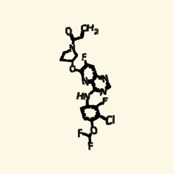 C=CC(=O)N1CC[C@H](Oc2nc3c(Nc4ccc(OC(F)F)c(Cl)c4F)ncnc3cc2F)C1